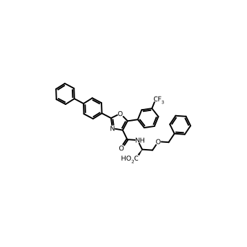 O=C(N[C@@H](COCc1ccccc1)C(=O)O)c1nc(-c2ccc(-c3ccccc3)cc2)oc1-c1cccc(C(F)(F)F)c1